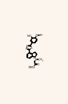 COC(=O)CN(C)[C@H]1CCc2c(-c3nnc(-c4ccc(OC(C)C)c(C#N)c4)s3)cccc21